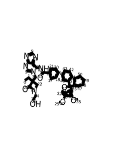 CCC1(Cn2cnc3ncnc-3c2NC(=O)c2ccccc2)CN(CCO)C1=O.COc1c2ccc(c1OC)C(c1ccccc1)(c1ccccc1)O2